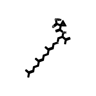 C=C(C)C(CSC/C=C(\C)CC/C=C(\C)CCC=C(C)C)NC(=C)C1(C(=O)OC)CC1